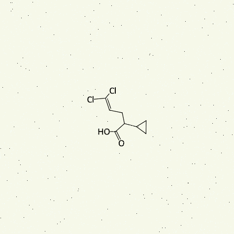 O=C(O)C(CC=C(Cl)Cl)C1CC1